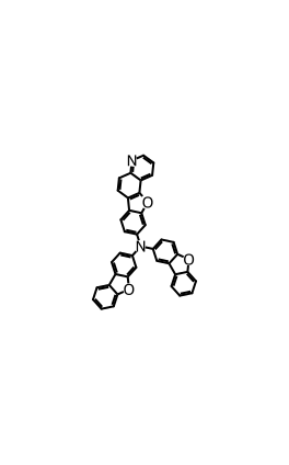 c1ccc2c(c1)oc1cc(N(c3ccc4c(c3)oc3c5cccnc5ccc43)c3ccc4oc5ccccc5c4c3)ccc12